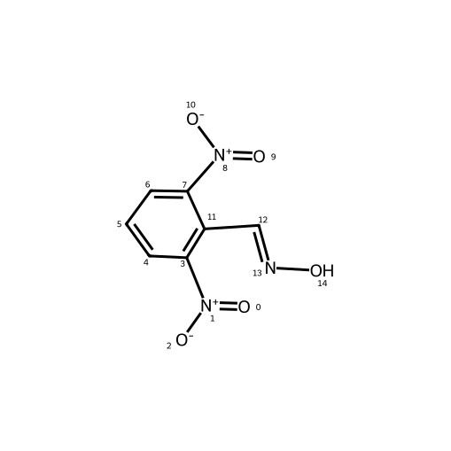 O=[N+]([O-])c1cccc([N+](=O)[O-])c1C=NO